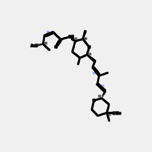 CO[C@@]1(C)CCO[C@H](/C=C/C(C)=C/C[C@@H]2O[C@H](C)[C@H](NC(=O)/C=C\[C@H](C)OC(C)=O)CC2C)C1